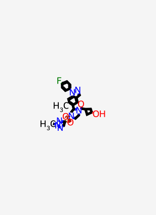 Cc1cc2c(cnn2-c2ccc(F)cc2)cc1C1CN(S(=O)(=O)c2cnn(C)n2)CCN1C(=O)C1CC(O)C1